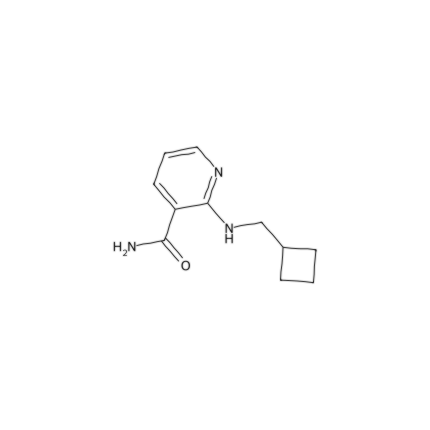 NC(=O)c1cccnc1NCC1CCC1